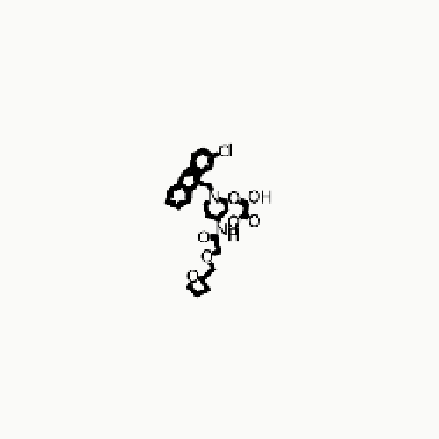 O=C(COCC1CCCO1)NC1CCN(CC23CC(c4ccccc42)c2ccc(Cl)cc23)CC1.O=C(O)C(=O)O